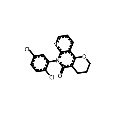 O=c1c2c(c3cccnc3n1-c1cc(Cl)ccc1Cl)OCCC2